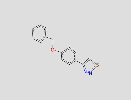 c1ccc(COc2ccc(-c3csnn3)cc2)cc1